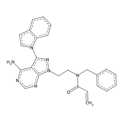 C=CC(=O)N(CCn1nc(-n2ccc3ccccc32)c2c(N)ncnc21)Cc1ccccc1